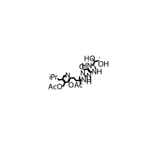 CC(=O)OCc1c(CC(C)C)cnc(CCC(C)(C)Nc2nc(=O)c3c([nH]2)NC[C@H]([C@@H](O)[C@H](C)O)N3)c1OC(C)=O